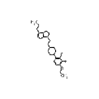 CCCC1=CCC2C(CCC3CCC(c4ccc(OCC)c(F)c4F)CC3)CCC12